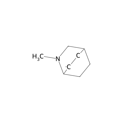 CN1CC2C[CH]C1CC2